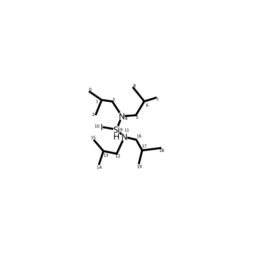 CC(C)CN(CC(C)C)[SiH](I)N(CC(C)C)CC(C)C